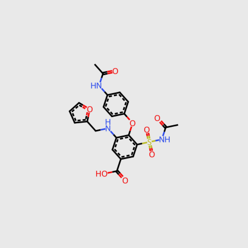 CC(=O)Nc1ccc(Oc2c(NCc3ccco3)cc(C(=O)O)cc2S(=O)(=O)NC(C)=O)cc1